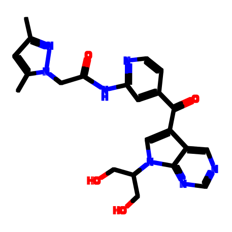 Cc1cc(C)n(CC(=O)Nc2cc(C(=O)c3cn(C(CO)CO)c4ncncc34)ccn2)n1